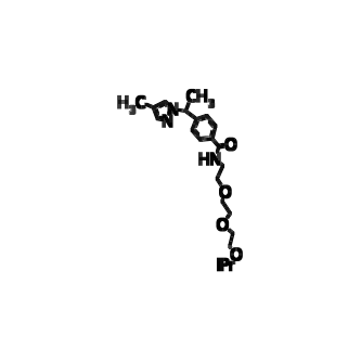 Cc1cnn(C(C)c2ccc(C(=O)NCCOCCOCCOC(C)C)cc2)c1